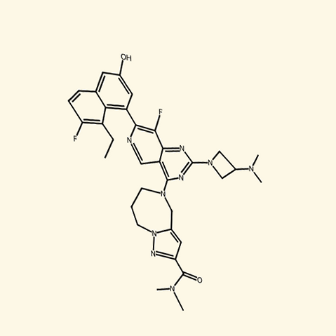 CCc1c(F)ccc2cc(O)cc(-c3ncc4c(N5CCCn6nc(C(=O)N(C)C)cc6C5)nc(N5CC(N(C)C)C5)nc4c3F)c12